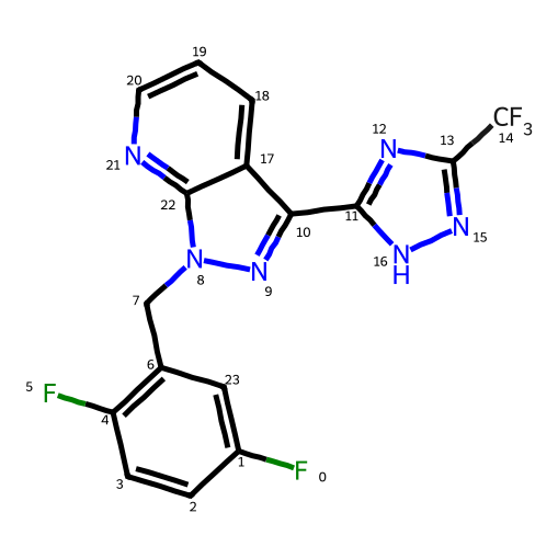 Fc1ccc(F)c(Cn2nc(-c3nc(C(F)(F)F)n[nH]3)c3cccnc32)c1